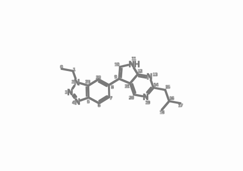 CCn1nnc2ccc(-c3c[nH]c4nc(CC(C)C)ncc34)cc21